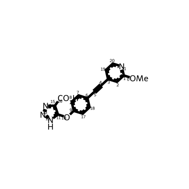 COc1cc(C#Cc2ccc(Oc3[nH]nnc3C(=O)O)cc2)ccn1